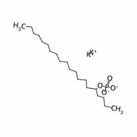 CCCCCCCCCCCCCCCC(CCCC)OP(=O)([O-])[O-].[K+].[K+]